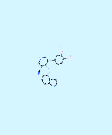 COc1ccc(-c2cncc(C#N)c2Nc2cccc3[nH]ccc23)cc1OC